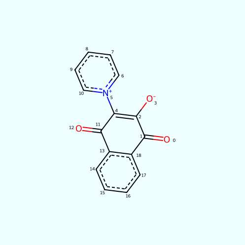 O=C1C([O-])=C([n+]2ccccc2)C(=O)c2ccccc21